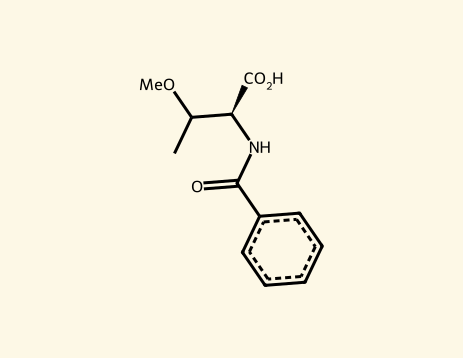 COC(C)[C@H](NC(=O)c1ccccc1)C(=O)O